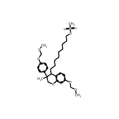 COCOc1ccc(C2(C)CSc3cc(OCOC)ccc3C2CCCCCCCCCOS(C)(=O)=O)cc1